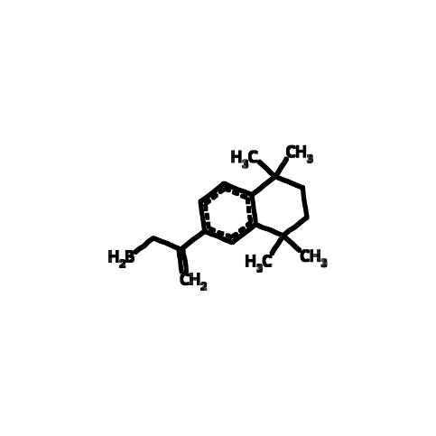 BCC(=C)c1ccc2c(c1)C(C)(C)CCC2(C)C